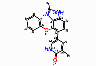 Cc1nc2c(Oc3ccccc3)c(-c3c[nH]c(=O)c(C)c3)ccc2[nH]1